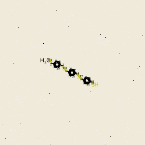 CSC[C@H]1CC[C@@H](CSSC[C@H]2CC[C@@H](CSSC[C@H]3CC[C@@H](CS)CC3)CC2)CC1